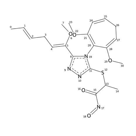 C/C=C/C/C=C(\OC)c1nnc(SC(C)C(=O)N=O)n1C1=C(OC)C=CCC=C1OC